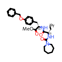 COC(=O)[C@H](Cc1ccc(OCc2ccccc2)cc1)NC(=O)[C@H](CC(C)C)NC(=O)N1CCCCCC1